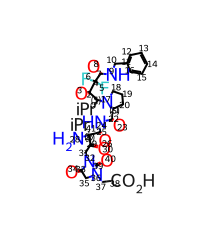 CC(C)[C@@H](C(=O)C(F)(F)C(=O)NCc1ccccc1)N1CCC[C@H]1C(=O)NC(=O)[C@](N)(C(=O)CN1C(=O)CN(CC(=O)O)C1=O)C(C)C